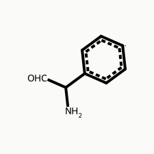 NC(C=O)c1cc[c]cc1